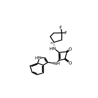 O=c1c(Nc2c[nH]c3ccccc23)c(N[C@@H]2CCC(F)(F)C2)c1=O